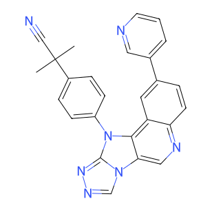 CC(C)(C#N)c1ccc(-n2c3c4cc(-c5cccnc5)ccc4ncc3n3cnnc23)cc1